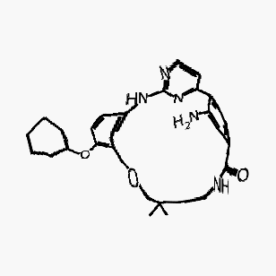 CC1(C)CCNC(=O)c2ccc(c(N)c2)-c2ccnc(n2)Nc2ccc(OC3CCCCC3)c(c2)COC1